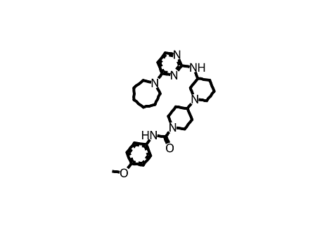 COc1ccc(NC(=O)N2CCC(N3CCCC(Nc4nccc(N5CCCCCC5)n4)C3)CC2)cc1